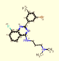 CN(C)CCCNc1nc(-c2cc(Br)cc(C(F)(F)F)c2)nc2c(F)cccc12